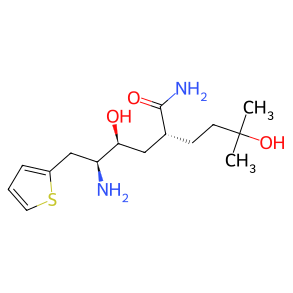 CC(C)(O)CC[C@H](C[C@H](O)[C@@H](N)Cc1cccs1)C(N)=O